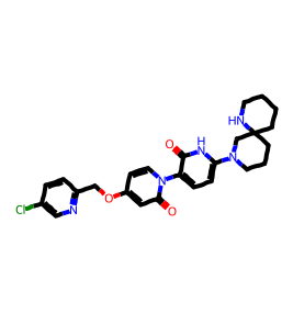 O=c1[nH]c(N2CCCC3(CCCCN3)C2)ccc1-n1ccc(OCc2ccc(Cl)cn2)cc1=O